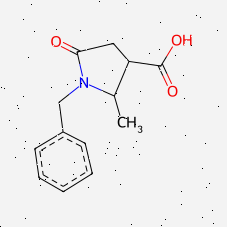 CC1C(C(=O)O)CC(=O)N1Cc1ccccc1